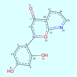 O=c1cc(-c2ccc(O)cc2O)oc2ncccc12